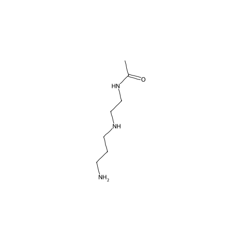 CC(=O)NCCNCCCN